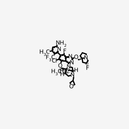 Cc1cc(N)nc(-c2c(Cl)c3c4c(nc(OC[C@@]56CCCN5C[C@H](F)C6)nc4c2F)N2C[C@H]4CC[C@H](CN4CC4COC4)[C@H]2[C@H](C)O3)c1C(F)(F)F